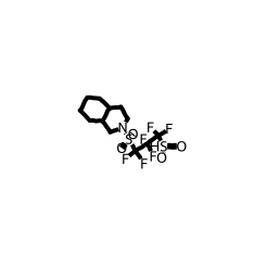 O=[SH](=O)C(F)(F)C(F)(F)C(F)(F)S(=O)(=O)N1CCC2CCCCC2C1